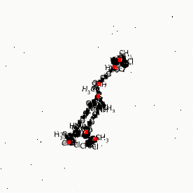 CN1Cc2c(Cl)cc(Cl)cc2[C@H](c2cccc([S+]([O-])NCCOCCOCCNC(=O)N(C)CCCN(CCCN(C)C(=O)NCCOCCOCCNS(=O)(=O)c3cccc([C@@H]4CN(C)Cc5c(Cl)cc(Cl)cc54)c3)CCCN(C)C(=O)NCCOCCOCCNS(=O)(=O)c3cccc([C@@H]4CN(C)Cc5c(Cl)cc(Cl)cc54)c3)c2)C1